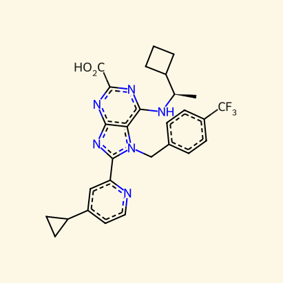 C[C@@H](Nc1nc(C(=O)O)nc2nc(-c3cc(C4CC4)ccn3)n(Cc3ccc(C(F)(F)F)cc3)c12)C1CCC1